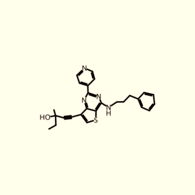 CCC(C)(O)C#Cc1csc2c(NCCCc3ccccc3)nc(-c3ccncc3)nc12